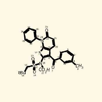 Cc1cccc(C(=O)c2c(N(C(=O)O)S(=O)(=O)CC(C)(C)C)sc3c2ccc(=O)n3-c2ccccc2)c1